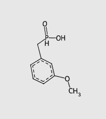 COc1cccc(C[PH](=O)O)c1